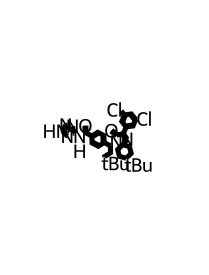 CC(C)(C)CCC(c1ccc(C(=O)Nc2nn[nH]n2)cc1)N1C(=O)C(c2cc(Cl)cc(Cl)c2)=NC12CCC(C(C)(C)C)CC2